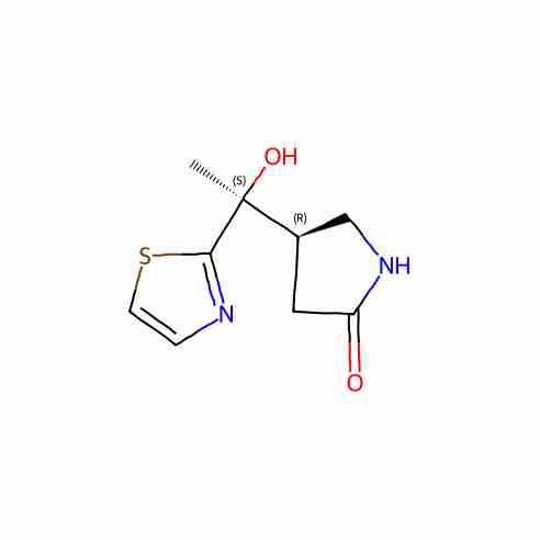 C[C@@](O)(c1nccs1)[C@H]1CNC(=O)C1